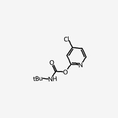 CC(C)(C)NC(=O)Oc1cc(Cl)ccn1